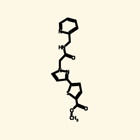 COC(=O)c1ccc(-c2ccn(CC(=O)NCc3ccccn3)n2)s1